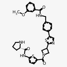 COc1cccc(C(=O)NCc2ccc(-c3cnc(C4CN(C(=O)c5ccc(NC(=O)[C@@H]6CCCN6)s5)C4)s3)cc2)c1